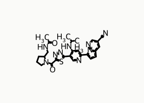 CC(=O)NCC1CCCN1C(=O)c1nnc(-c2cnc(-c3ccc4cc(C#N)cnn34)cc2NC(C)C)s1